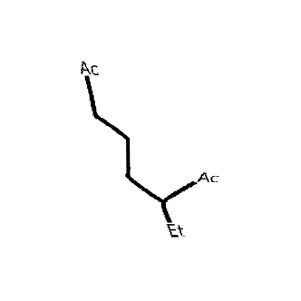 CCC(CCCC(C)=O)C(C)=O